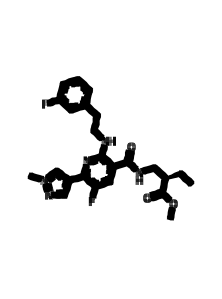 CC[C@H](CNC(=O)c1cc(F)c(-c2cnn(C)c2)nc1NCCc1cccc(F)c1)C(=O)OC